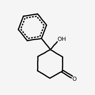 O=C1CCCC(O)(c2ccccc2)C1